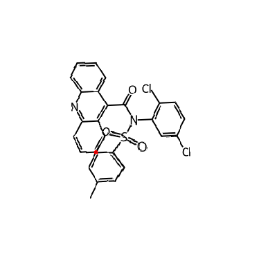 Cc1ccc(S(=O)(=O)N(C(=O)c2c3ccccc3nc3ccccc23)c2cc(Cl)ccc2Cl)cc1